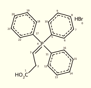 Br.O=C(O)CC=P(c1ccccc1)(c1ccccc1)c1ccccc1